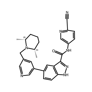 C[C@@H]1CCC[C@H](C)N1Cc1cncc(-c2ccc3[nH]nc(C(=O)Nc4ccc(C#N)nc4)c3c2)c1